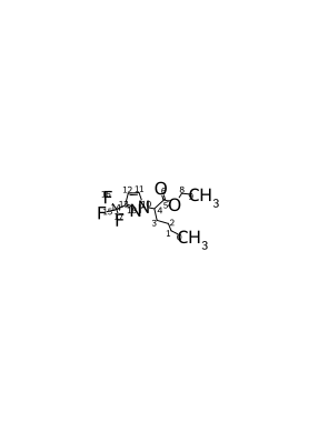 CCCCC(C(=O)OCC)n1ccc(C(F)(F)F)n1